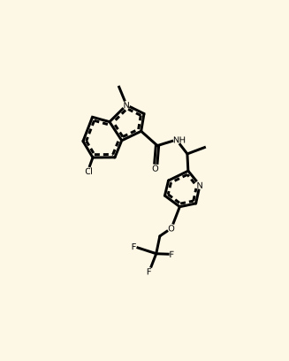 CC(NC(=O)c1cn(C)c2ccc(Cl)cc12)c1ccc(OCC(F)(F)F)cn1